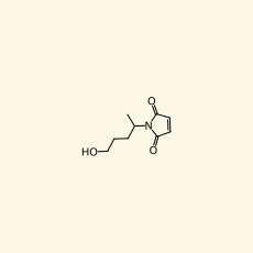 CC(CCCO)N1C(=O)C=CC1=O